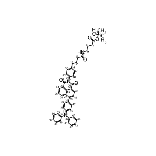 CC(C)(C)OC(=O)CCCNC(=O)CCCc1ccc(N2C(=O)c3cccc4c(-c5ccc(N(c6ccccc6)c6ccccc6)cc5)ccc(c34)C2=O)cc1